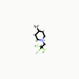 [2H]C1CCN(CC(F)(F)F)CC1